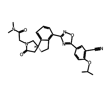 CC(C)Oc1ccc(-c2nc(-c3cccc4c3CC[C@@]43CC(=O)N(CC(=O)N(C)C)C3)no2)cc1C#N